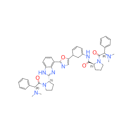 CN(C)[C@@H](C(=O)N1CCC[C@H]1C(=O)NC1=CC=CC(c2cnc(-c3cccc4[nH]c([C@@H]5CCCN5C(=O)[C@@H](c5ccccc5)N(C)C)nc34)o2)C1)c1ccccc1